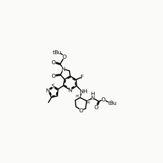 Cc1cc(-c2nc(N[C@@H]3CCOC[C@@H]3NC(=O)OC(C)(C)C)c(F)c3c2C(=O)N(C(=O)OC(C)(C)C)C3)sn1